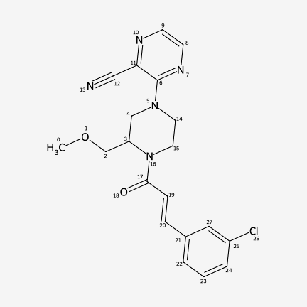 COCC1CN(c2nccnc2C#N)CCN1C(=O)C=Cc1cccc(Cl)c1